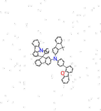 CC1(C)c2ccccc2-c2ccc(N(c3ccc(-c4cccc5c4oc4ccccc45)cc3)c3ccc4c(c3)C3(c5ccccc5-4)c4ccccc4-n4c5ccccc5c5cccc3c54)cc21